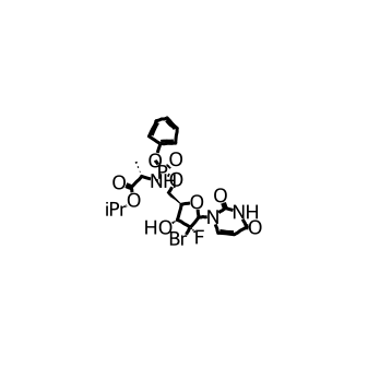 CC(C)OC(=O)[C@H](C)N[P@](=O)(OC[C@H]1OC(n2ccc(=O)[nH]c2=O)[C@@](F)(Br)[C@@H]1O)Oc1ccccc1